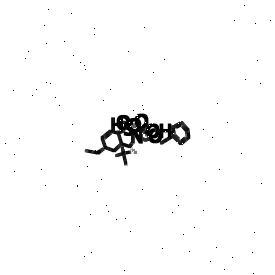 CC[C@H]1C=C[C@@H]2[C@@](C(C)(C)C)(C1)[C@@H](C)[N+](COCc1ccccc1)(C(=O)O)S2(=O)=O